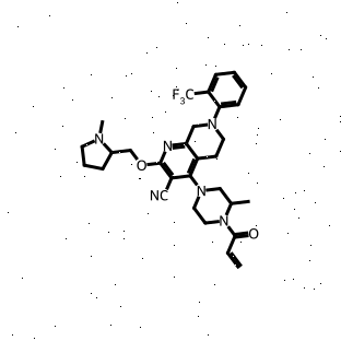 C=CC(=O)N1CCN(c2c(C#N)c(OCC3CCCN3C)nc3c2CCN(c2ccccc2C(F)(F)F)C3)CC1C